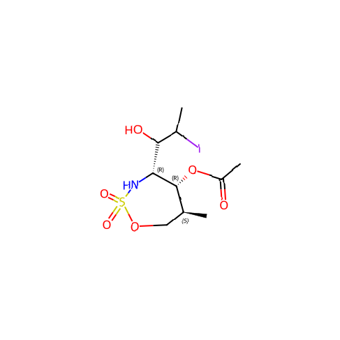 CC(=O)O[C@H]1[C@@H](C(O)C(C)I)NS(=O)(=O)OC[C@@H]1C